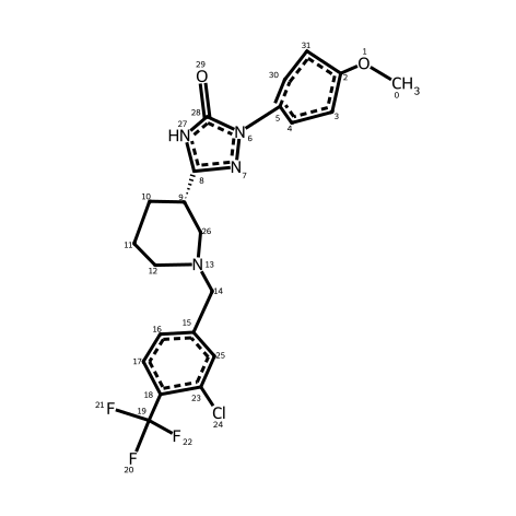 COc1ccc(-n2nc([C@H]3CCCN(Cc4ccc(C(F)(F)F)c(Cl)c4)C3)[nH]c2=O)cc1